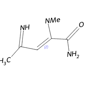 CN/C(=C\C(C)=N)C(N)=O